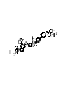 CC(O)CN1CCC(c2ccc(C(=O)Nc3cc(Oc4cc5ccn(C(N)=O)c5cc4COC(C)C)ccn3)cc2)CC1